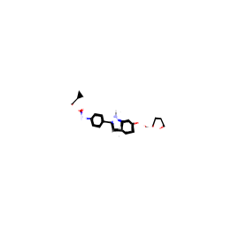 CC(C)n1c(-c2ccc(NC(=O)O[C@H](C)C3CC3)cc2)c(C#N)c2ccc(OC[C@H]3CCCO3)cc21